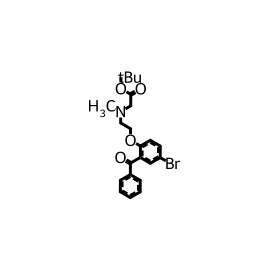 CN(CCOc1ccc(Br)cc1C(=O)c1ccccc1)CC(=O)OC(C)(C)C